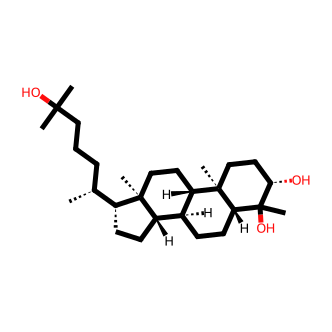 C[C@H](CCCC(C)(C)O)[C@H]1CC[C@H]2[C@@H]3CC[C@H]4C(C)(O)[C@@H](O)CC[C@]4(C)[C@H]3CC[C@]12C